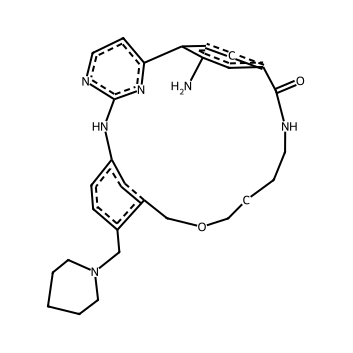 Nc1cc2ccc1-c1ccnc(n1)Nc1ccc(CN3CCCCC3)c(c1)COCCCCNC2=O